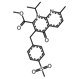 COC(=O)c1c(Cc2ccc(S(C)(=O)=O)cc2)c(=O)c2ccc(C)nc2n1C(C)C